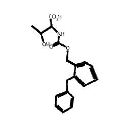 CC(O)C(NC(=O)OCc1ccccc1Cc1ccccc1)C(=O)O